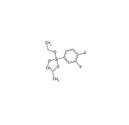 CCO[Si](OC)(OCC)c1ccc(F)c(F)c1